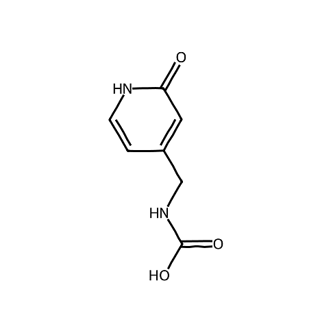 O=C(O)NCc1cc[nH]c(=O)c1